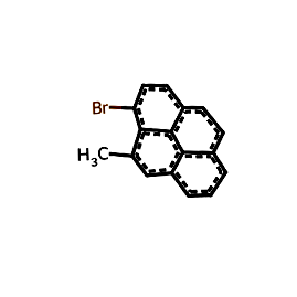 Cc1cc2cccc3ccc4ccc(Br)c1c4c32